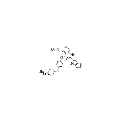 COCc1cccc(NC(=O)c2cc3sccc3n2C)c1COc1ccc(OC2CCN(OC(C)(C)C)CC2)cc1